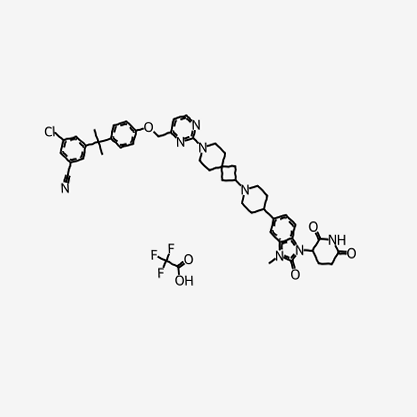 Cn1c(=O)n(C2CCC(=O)NC2=O)c2ccc(C3CCN(C4CC5(CCN(c6nccc(COc7ccc(C(C)(C)c8cc(Cl)cc(C#N)c8)cc7)n6)CC5)C4)CC3)cc21.O=C(O)C(F)(F)F